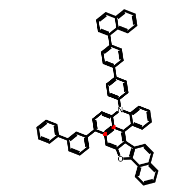 c1ccc(-c2cccc(-c3ccc(N(c4ccc(-c5ccc(-c6cccc7ccccc67)cc5)cc4)c4ccccc4-c4cccc5oc6c7ccccc7ccc6c45)cc3)c2)cc1